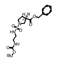 CC(C)(C)OC(=O)NCCNS(=O)(=O)N1CC[C@](N)(C(=O)OCc2ccccc2)C1